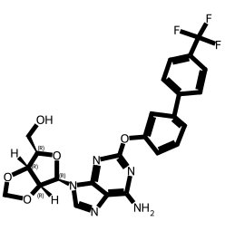 Nc1nc(Oc2cccc(-c3ccc(C(F)(F)F)cc3)c2)nc2c1ncn2[C@@H]1O[C@H](CO)[C@H]2OCO[C@H]21